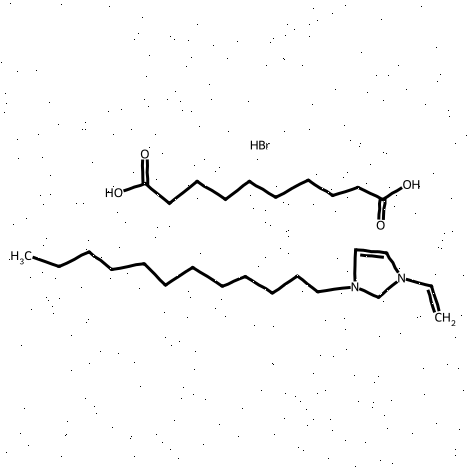 Br.C=CN1C=CN(CCCCCCCCCCCC)C1.O=C(O)CCCCCCCCC(=O)O